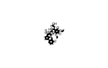 CCOc1cc([C@H](CC(=O)O)NC(=O)Nc2c(O)c3c(n(Cc4ccccc4Cl)c2=O)CCC3)c(Cl)c(OCC)c1Cl